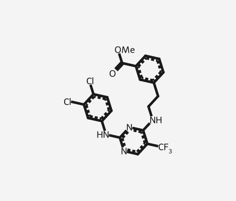 COC(=O)c1cccc(CCNc2nc(Nc3ccc(Cl)c(Cl)c3)ncc2C(F)(F)F)c1